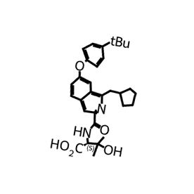 CC(C)(C)c1ccc(Oc2ccc3cc(C(=O)N[C@H](C(=O)O)C(C)(C)O)nc(CC4CCCC4)c3c2)cc1